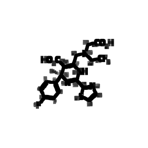 C[C@@]1(c2ccc(F)cc2)N=C(c2nccs2)NC(CN(CC(=O)O)CC(F)(F)F)=C1C(=O)O